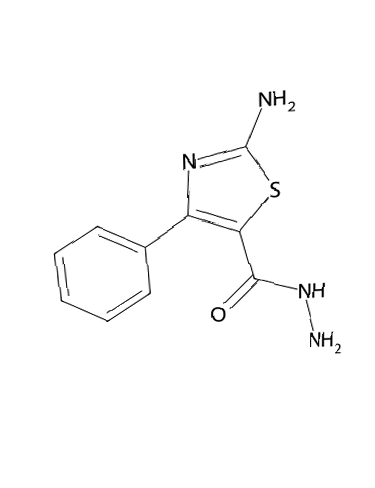 NNC(=O)c1sc(N)nc1-c1ccccc1